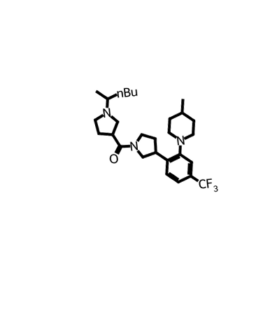 CCCCC(C)N1CCC(C(=O)N2CCC(c3ccc(C(F)(F)F)cc3N3CCC(C)CC3)C2)C1